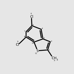 Cc1cc2cc(Cl)cc(Cl)c2s1